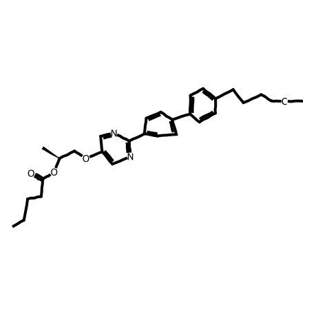 CCCCCCc1ccc(-c2ccc(-c3ncc(OC[C@H](C)OC(=O)CCCC)cn3)cc2)cc1